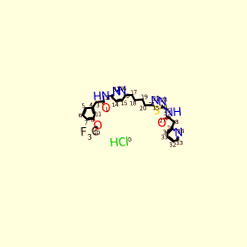 Cl.O=C(Cc1cccc(OC(F)(F)F)c1)Nc1ccc(CCCCc2nnc(NC(=O)Cc3ccccn3)s2)nn1